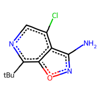 CC(C)(C)c1ncc(Cl)c2c(N)noc12